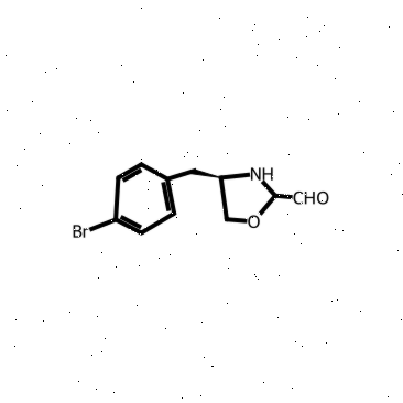 O=CC1N[C@H](Cc2ccc(Br)cc2)CO1